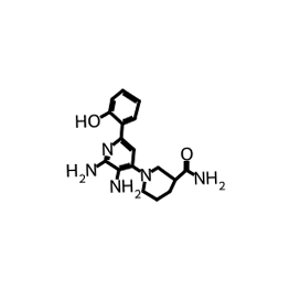 NC(=O)C1CCCN(c2cc(-c3ccccc3O)nc(N)c2N)C1